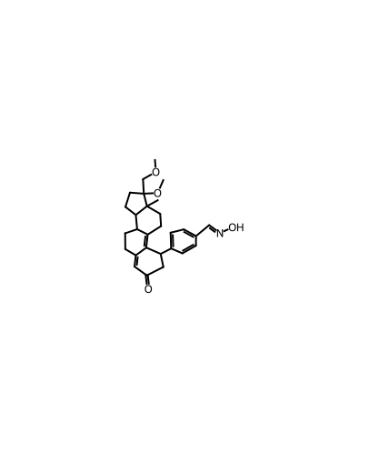 COCC1(OC)CCC2C3CCC4=CC(=O)CC(c5ccc(C=NO)cc5)C4=C3CCC21C